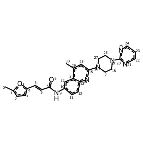 Cc1ccc(/C=C/C(=O)Nc2ccc3nc(N4CCN(c5ncccn5)CC4)cc(C)c3c2)o1